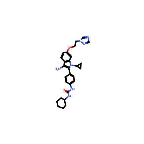 Nc1c(-c2ccc(NC(=O)NC3CCCCC3)cc2)n(C2CC2)c2cc(OCCn3cncn3)ccc12